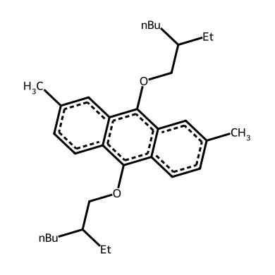 CCCCC(CC)COc1c2ccc(C)cc2c(OCC(CC)CCCC)c2cc(C)ccc12